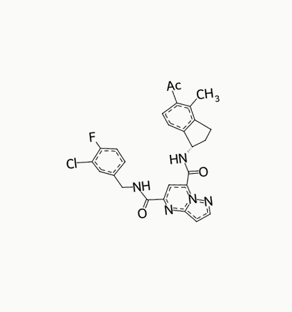 CC(=O)c1ccc2c(c1C)CC[C@@H]2NC(=O)c1cc(C(=O)NCc2ccc(F)c(Cl)c2)nc2ccnn12